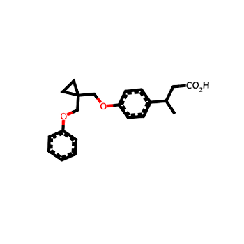 CC(CC(=O)O)c1ccc(OCC2(COc3ccccc3)CC2)cc1